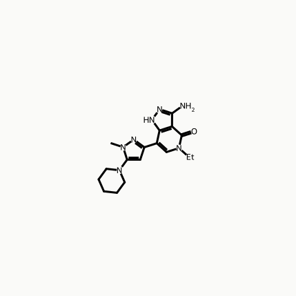 CCn1cc(-c2cc(N3CCCCC3)n(C)n2)c2[nH]nc(N)c2c1=O